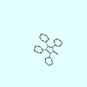 C=C1C(c2ccccc2)=C(c2ccccc2)C(c2ccccc2)=C1c1ccccc1